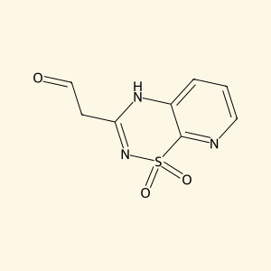 O=CCC1=NS(=O)(=O)c2ncccc2N1